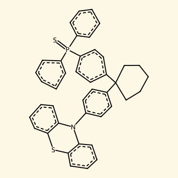 S=P(c1ccccc1)(c1ccccc1)c1ccc(C2(c3ccc(N4c5ccccc5Sc5ccccc54)cc3)CCCCC2)cc1